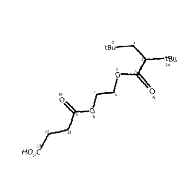 CC(C)(C)CC(C(=O)OCCOC(=O)CCC(=O)O)C(C)(C)C